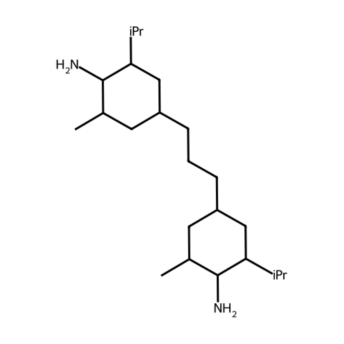 CC(C)C1CC(CCCC2CC(C)C(N)C(C(C)C)C2)CC(C)C1N